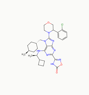 C[C@@H](Nc1nc(-c2noc(=O)[nH]2)nc2nc(N3CCOCC3c3ccccc3Cl)n(C[C@H]3CC[C@H](C)CC3)c12)C1CCC1